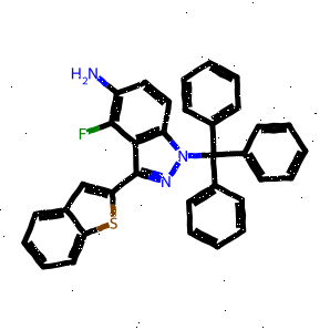 Nc1ccc2c(c(-c3cc4ccccc4s3)nn2C(c2ccccc2)(c2ccccc2)c2ccccc2)c1F